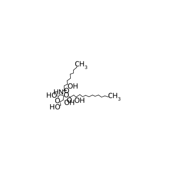 CCCCCCCCCCC[C@@H](O)CC(=O)O[C@H]1[C@H](O)[C@@H](CO)OC(O)[C@@H]1NC(=O)C[C@H](O)CCCCCCC